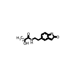 C[C@@H](O)C(=O)NCCc1ccc2c(c1)=CC(=O)N=2